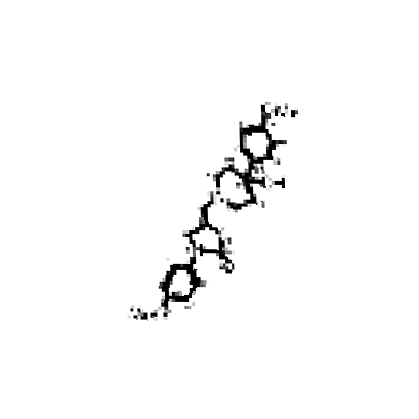 COc1ccc(N2CC(CN3CCC(O)(c4ccc(OC)cc4)CC3)OC2=O)cc1